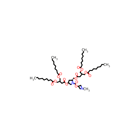 CCCCCCCCC(=O)OCC(COC(=O)CCCCCCCC)CC(=O)OC[C@@H]1C[C@@H](OC(=O)CC(COC(=O)CCCCCCCC)COC(=O)CCCCCCCC)CN1C(=O)OC1CN(C)C1